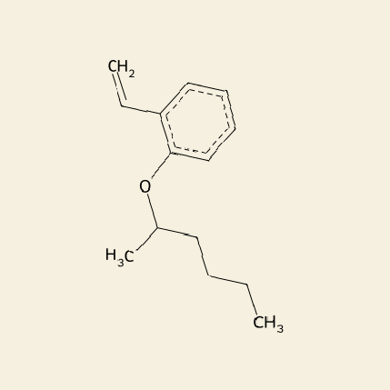 C=Cc1ccccc1OC(C)CCCC